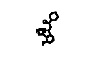 O=C(CC1c2cccc(F)c2-c2cncn21)C1CCCCC1